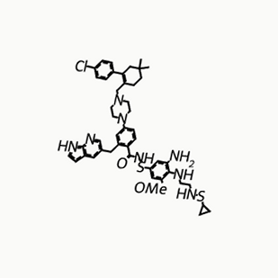 COc1cc(SNC(=O)c2ccc(N3CCN(CC4=C(c5ccc(Cl)cc5)CC(C)(C)CC4)CC3)cc2Cc2cnc3[nH]ccc3c2)cc(N)c1NCCNSC1CC1